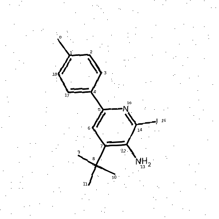 Cc1ccc(-c2cc(C(C)(C)C)c(N)c(I)n2)cc1